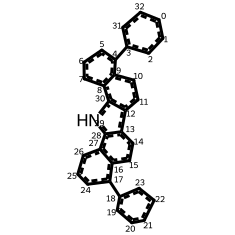 c1ccc(-c2cccc3c2ccc2c4ccc5c(-c6ccccc6)cccc5c4[nH]c32)cc1